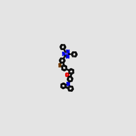 c1ccc(-c2nc(-c3ccccc3)nc(-c3ccc4sc5ccc(-c6cccc7c6oc6cc(-n8c9ccccc9c9ccccc98)ccc67)cc5c4c3)n2)cc1